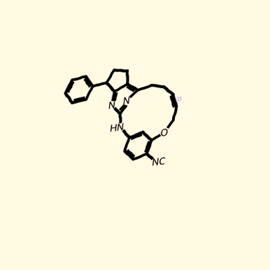 [C-]#[N+]c1ccc2cc1OC/C=C\CCc1nc(nc3c1CCC3c1ccccc1)N2